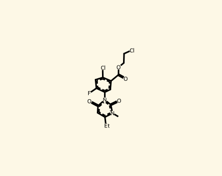 CCc1cc(=O)n(-c2cc(C(=O)OCCCl)c(Cl)cc2F)c(=O)n1C